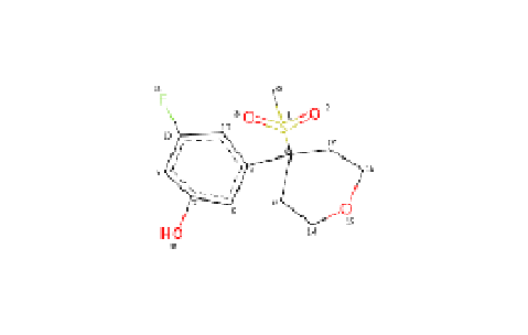 CS(=O)(=O)C1(c2cc(O)cc(F)c2)CCOCC1